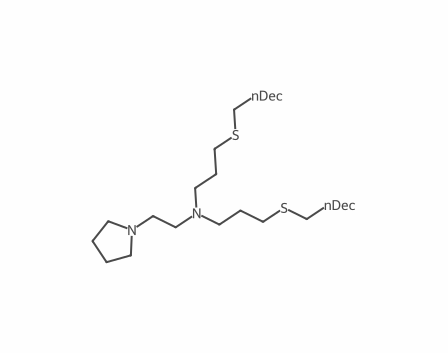 CCCCCCCCCCCSCCCN(CCCSCCCCCCCCCCC)CCN1CCCC1